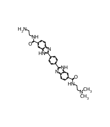 CN(C)CCNC(=O)c1ccc2nc(-c3ccc(-c4nc5ccc(C(=O)NCCN)cc5[nH]4)cc3)[nH]c2c1